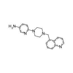 Nc1ccc(N2CCN(Cc3cccc4ncccc34)CC2)nc1